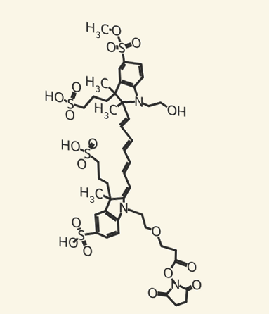 COS(=O)(=O)c1ccc2c(c1)C(C)(CCCS(=O)(=O)O)C(C)(/C=C/C=C/C=C/C=C1/N(CCOCCC(=O)ON3C(=O)CCC3=O)c3ccc(S(=O)(=O)O)cc3C1(C)CCCS(=O)(=O)O)N2CCO